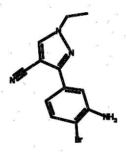 CCn1cc(C#N)c(-c2ccc(Br)c(N)c2)n1